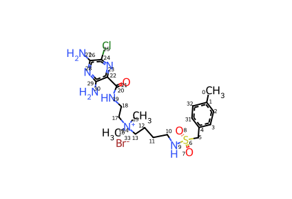 Cc1ccc(CS(=O)(=O)NCCCC[N+](C)(C)CCNC(=O)c2nc(Cl)c(N)nc2N)cc1.[Br-]